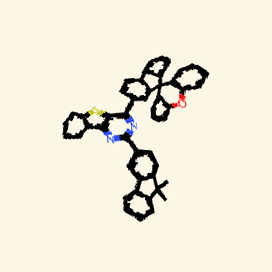 CC1(C)c2ccccc2-c2cc(-c3nc(-c4ccc5c(c4)C4(c6ccccc6Oc6ccccc64)c4ccccc4-5)c4sc5ccccc5c4n3)ccc21